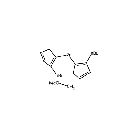 CCCCC1=[C]([Zr][C]2=C(CCCC)C=CC2)CC=C1.COC